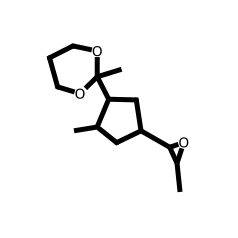 CC1CC(C2OC2C)CC1C1(C)OCCCO1